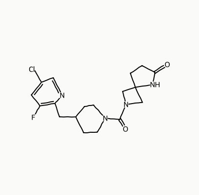 O=C1CCC2(CN(C(=O)N3CCC(Cc4ncc(Cl)cc4F)CC3)C2)N1